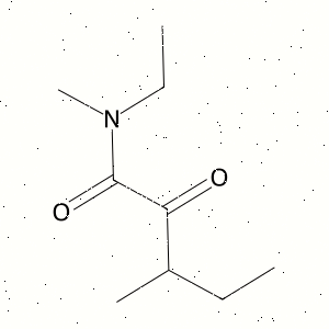 CCC(C)C(=O)C(=O)N(C)CC